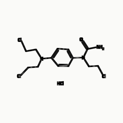 Cl.NC(=O)N(CCCl)c1ccc(N(CCCl)CCCl)cc1